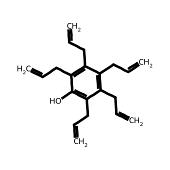 C=CCc1c(O)c(CC=C)c(CC=C)c(CC=C)c1CC=C